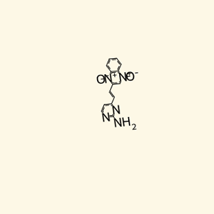 Nc1nccc(/C=C/c2c[n+]([O-])c3ccccc3[n+]2[O-])n1